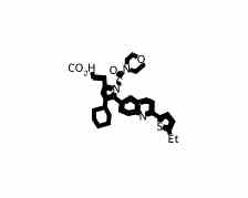 CCc1ccc(-c2ccc3cc(-c4c(C5CCCCC5)cc(C=CC(=O)O)n4CC(=O)N4CCOCC4)ccc3n2)s1